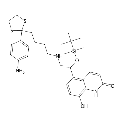 CC(C)(C)[Si](C)(C)O[C@@H](CNCCCCC1(c2ccc(N)cc2)SCCS1)c1ccc(O)c2[nH]c(=O)ccc12